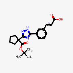 CC(C)(C)OC(=O)C1(c2n[nH]c(-c3cccc(/C=C/C(=O)O)c3)n2)CCCC1